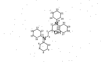 OC(CCN(C1CCCCC1)C1CCCCC1)CN(C1CCCCC1)C1CCCCC1